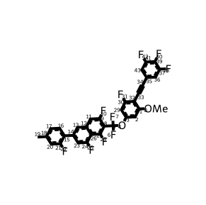 COc1cc(OC(F)(F)c2c(F)cc3cc(-c4ccc(C)cc4F)cc(F)c3c2F)cc(F)c1C#Cc1cc(F)c(F)c(F)c1